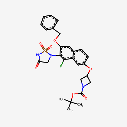 CC(C)(C)OC(=O)N1CC(Oc2ccc3cc(OCc4ccccc4)c(N4CC(=O)NS4(=O)=O)c(F)c3c2)C1